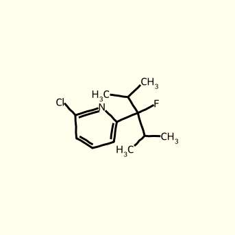 CC(C)C(F)(c1cccc(Cl)n1)C(C)C